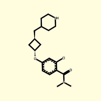 CN(C)C(=O)c1ccc(O[C@H]2C[C@H](CC3CCNCC3)C2)cc1Cl